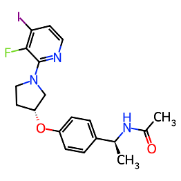 CC(=O)N[C@@H](C)c1ccc(O[C@@H]2CCN(c3nccc(I)c3F)C2)cc1